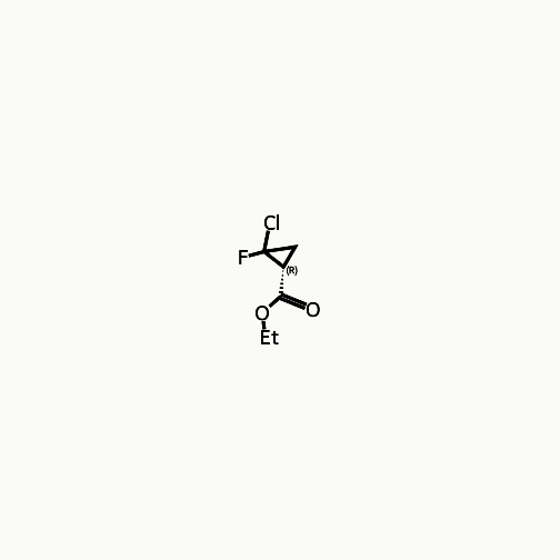 CCOC(=O)[C@H]1CC1(F)Cl